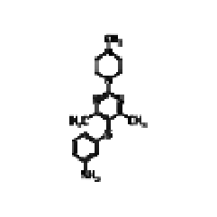 Cc1nc(N2CCN(C)CC2)nc(C)c1Sc1cccc(N)c1